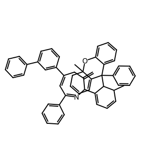 C=C1CC(c2cccc(-c3ccccc3)c2)=CC(c2ccccc2)=NC1C1=CC=CC(C)C1C1(c2ccccc2)C2=CC=CCC2(C)Oc2ccccc21